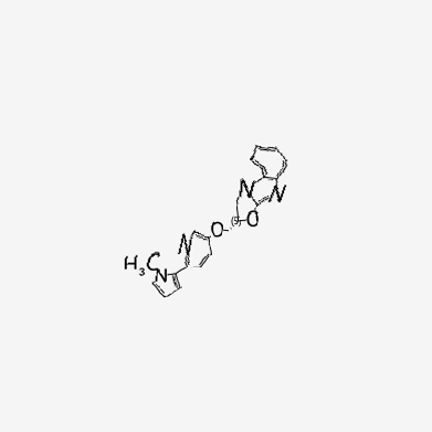 Cn1cccc1-c1ccc(OC[C@@H]2Cn3c(nc4ccccc43)O2)cn1